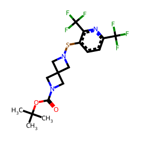 CC(C)(C)OC(=O)N1CC2(CN(Sc3ccc(C(F)(F)F)nc3C(F)(F)F)C2)C1